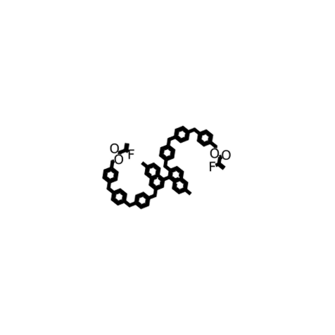 C=C(F)C(=O)OCc1ccc(Cc2ccc(Cc3ccc(Cc4cc(-c5c(Cc6ccc(Cc7ccc(Cc8ccc(COC(=O)C(=C)F)cc8)cc7)cc6)ccc6cc(C)ccc56)c5ccc(C)cc5c4)cc3)cc2)cc1